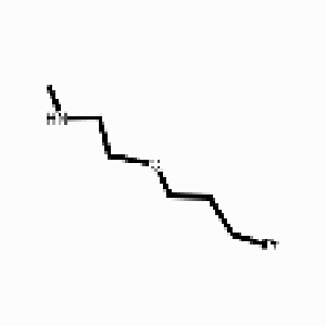 CC(C)CCCOCCNI